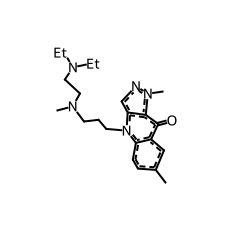 CCN(CC)CCN(C)CCCn1c2ccc(C)cc2c(=O)c2c1cnn2C